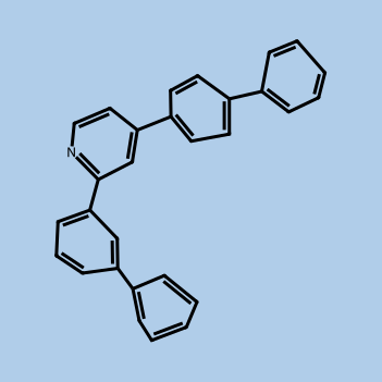 c1ccc(-c2ccc(-c3ccnc(-c4cccc(-c5ccccc5)c4)c3)cc2)cc1